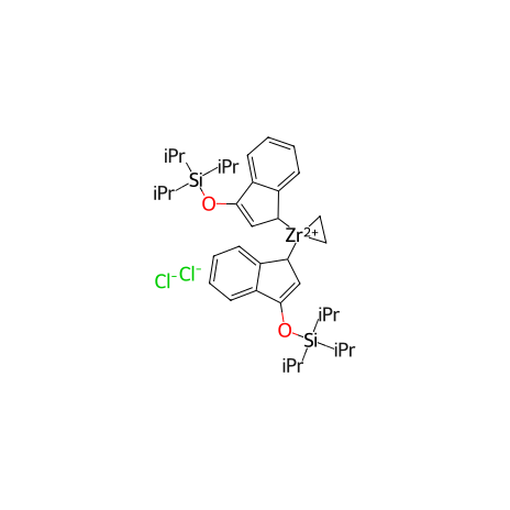 CC(C)[Si](OC1=C[CH]([Zr+2]2([CH]3C=C(O[Si](C(C)C)(C(C)C)C(C)C)c4ccccc43)[CH2][CH2]2)c2ccccc21)(C(C)C)C(C)C.[Cl-].[Cl-]